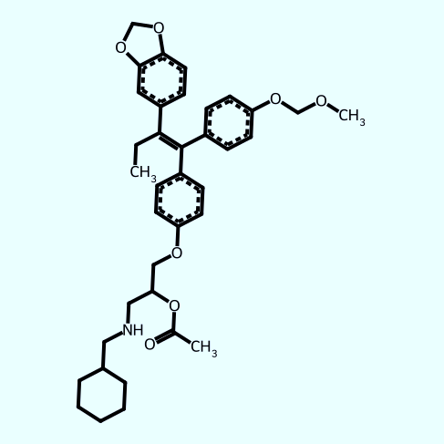 CCC(=C(c1ccc(OCOC)cc1)c1ccc(OCC(CNCC2CCCCC2)OC(C)=O)cc1)c1ccc2c(c1)OCO2